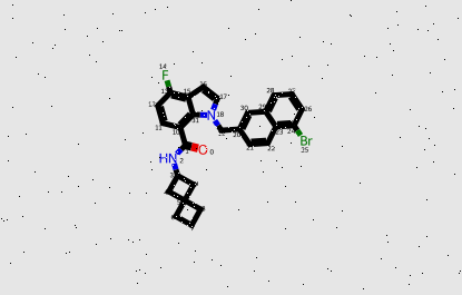 O=C(NC1CC2(CCC2)C1)c1ccc(F)c2ccn(Cc3ccc4c(Br)cccc4c3)c12